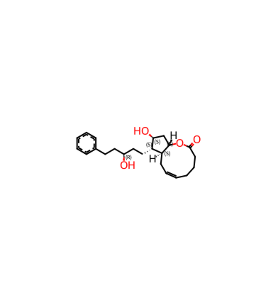 O=C1CCCC=CC[C@H]2[C@H](CC[C@@H](O)CCc3ccccc3)[C@@H](O)C[C@@H]2O1